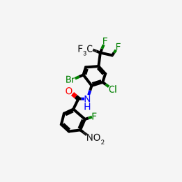 O=C(Nc1c(Cl)cc(C(F)(CF)C(F)(F)F)cc1Br)c1cccc([N+](=O)[O-])c1F